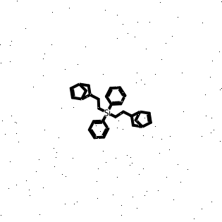 C1=CC2CC1CC2CC[Si](CCC1CC2C=CC1C2)(c1ccccc1)c1ccccc1